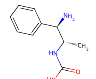 C[C@H](NC(=O)O)[C@H](N)c1ccccc1